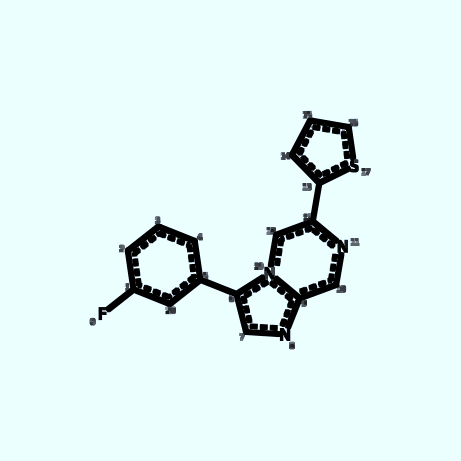 Fc1cccc(-c2cnc3cnc(-c4cccs4)cn23)c1